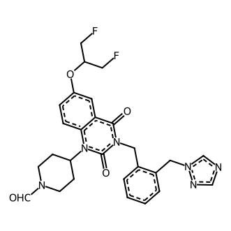 O=CN1CCC(n2c(=O)n(Cc3ccccc3Cn3cncn3)c(=O)c3cc(OC(CF)CF)ccc32)CC1